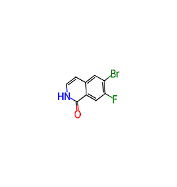 O=c1[nH]ccc2cc(Br)c(F)cc12